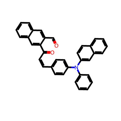 O=Cc1cc2ccccc2cc1C(=O)/C=C\c1ccc(N(c2ccccc2)c2ccc3ccccc3c2)cc1